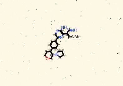 CN/C=C(\C=N)c1nc(-c2ccc(C3CCOCC3)c([C@@H]3CCCN3)c2)cnc1N